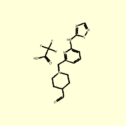 O=C(O)C(F)(F)F.O=CC1CCN(Cc2cccc(Nc3ncns3)n2)CC1